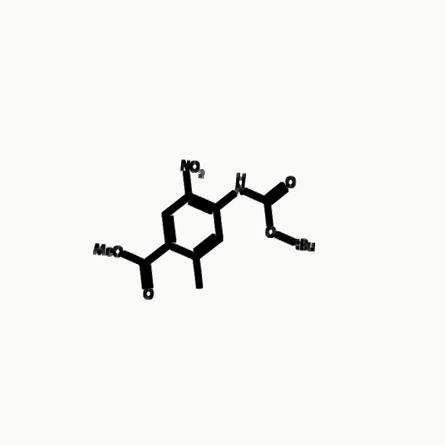 COC(=O)c1cc([N+](=O)[O-])c(NC(=O)OC(C)(C)C)cc1C